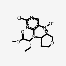 CC[C@H](C(=O)OC)N(c1nc(Cl)ncc1[N+](=O)[O-])C1CCOCC1